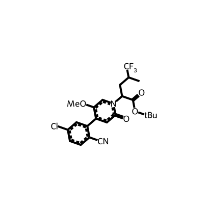 COc1cn(C(CC(C)C(F)(F)F)C(=O)OC(C)(C)C)c(=O)cc1-c1cc(Cl)ccc1C#N